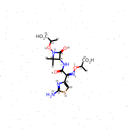 CC(O/N=C(\C(=O)N[C@@H]1C(=O)N(OC(C)C(=O)O)C1(C)C)c1csc(N)n1)C(=O)O